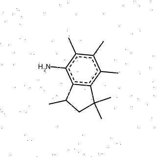 Cc1c(C)c(N)c2c(c1C)C(C)(C)CC2C